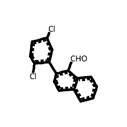 O=Cc1c(-c2cc(Cl)ccc2Cl)ccc2ccccc12